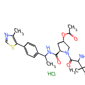 CC(=O)O[C@@H]1C[C@H](C(=O)NC(C)c2ccc(-c3scnc3C)cc2)N(C(=O)C(N)C(C)(C)C)C1.Cl